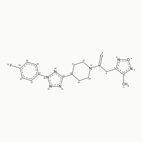 Cc1nonc1CC(=O)N1CCC(c2nnn(-c3ccc(F)cc3)n2)CC1